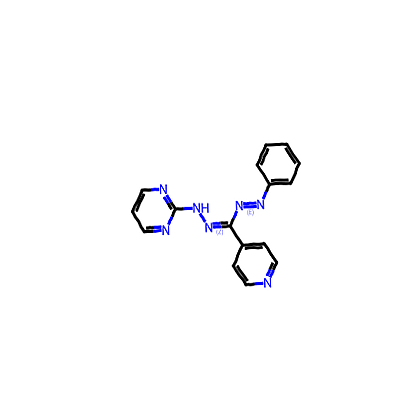 c1ccc(/N=N/C(=N\Nc2ncccn2)c2ccncc2)cc1